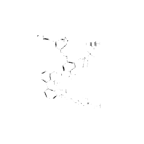 CC(CO)(CO)NCc1cc(Cl)c(OCc2cccc(-c3cccc4c3cnn4CCCN3CC[C@@H](O)C3)c2Br)cc1COc1cncc(C#N)c1